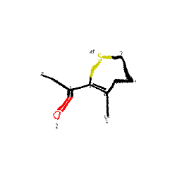 CC(=O)C1=C(C)CCS1